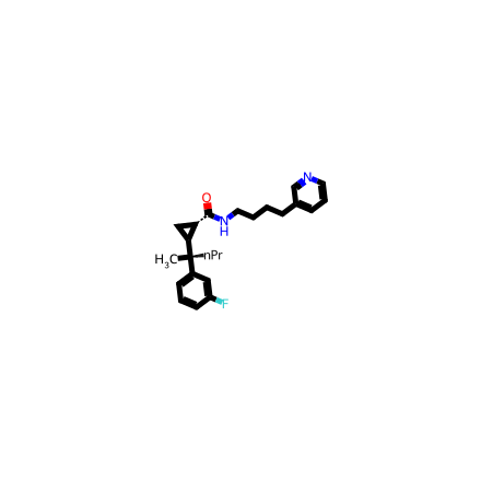 CCC[C@](C)(c1cccc(F)c1)C1C[C@@H]1C(=O)NCCCCc1cccnc1